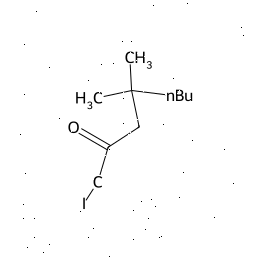 CCCCC(C)(C)CC(=O)CI